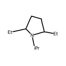 CCC1CCC(CC)N1C(C)C